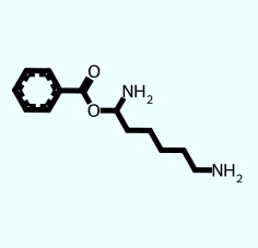 NCCCCCC(N)OC(=O)c1ccccc1